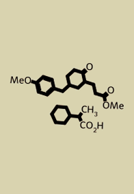 CC(C(=O)O)C1CCCCC1.COC(=O)CCC1CC(Cc2ccc(OC)cc2)CCC1=O